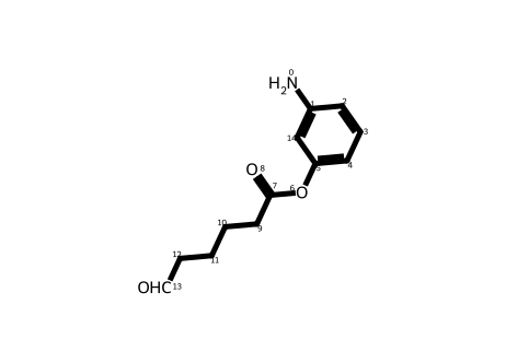 Nc1cccc(OC(=O)CCCCC=O)c1